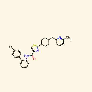 CCc1ccc(-c2ccccc2NC(=O)c2csc(C3CCC(Cc4cccc(C)n4)CC3)n2)cc1